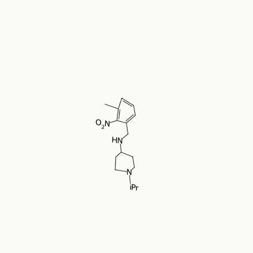 Cc1cccc(CNC2CCN(C(C)C)CC2)c1[N+](=O)[O-]